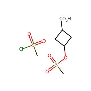 CS(=O)(=O)Cl.CS(=O)(=O)OC1CC(C(=O)O)C1